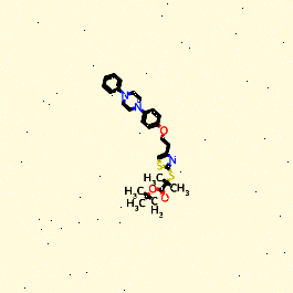 CC(C)(C)OC(=O)C(C)(C)Sc1nc(CCOc2ccc(N3CCN(c4ccccc4)CC3)cc2)cs1